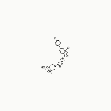 CCOC1(C2CC2)C=C(c2ccc(F)cc2)C=CC1CN1CC2(CC(N3CCC(C)(C(=O)O)CC3)=NO2)C1